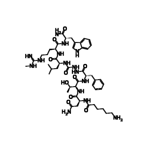 CNC(=N)NCCC[C@H](NC(=O)[C@H](CC(C)C)NC(=O)NNC(=O)[C@H](Cc1ccccc1)NC(=O)[C@@H](NC(=O)[C@H](CC(N)=O)NC(=O)CCCCCN)[C@@H](C)O)C(=O)N[C@@H](Cc1c[nH]c2ccccc12)C(N)=O